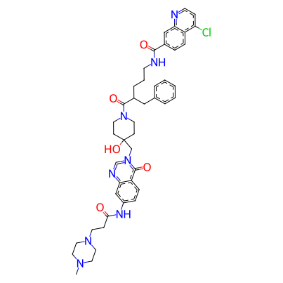 CN1CCN(CCC(=O)Nc2ccc3c(=O)n(CC4(O)CCN(C(=O)C(CCCNC(=O)c5ccc6c(Cl)ccnc6c5)Cc5ccccc5)CC4)cnc3c2)CC1